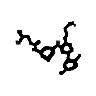 CCN(CC)CCC(=O)Nc1cc(Nc2cc(-c3cc(Cl)ccc3F)nnc2OCCN)ccn1